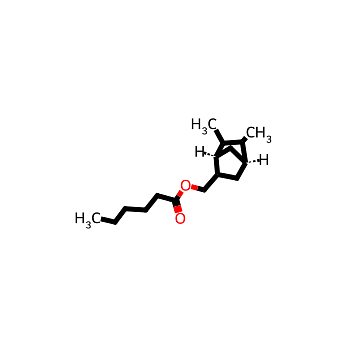 CCCCCC(=O)OCC1C[C@H]2C[C@@H]1C(C)C2C